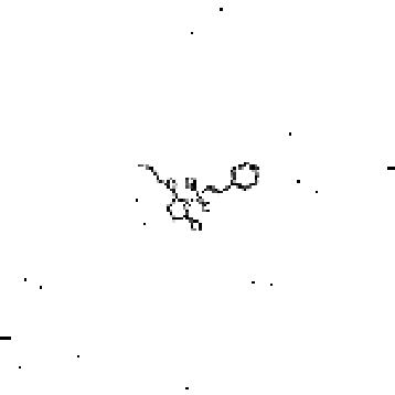 CCCOC1CCC(=O)N1S(=O)(=O)C=Cc1ccccc1